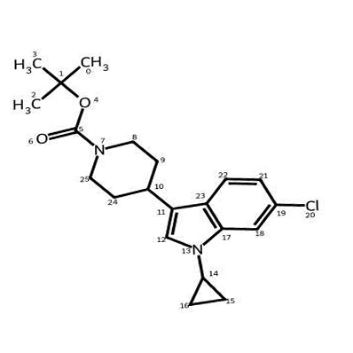 CC(C)(C)OC(=O)N1CCC(c2cn(C3CC3)c3cc(Cl)ccc23)CC1